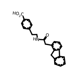 O=C(Cc1cccc2c1Cc1ccccc1-2)NCCc1ccc(C(=O)O)cc1